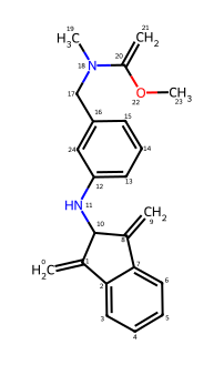 C=C1c2ccccc2C(=C)C1Nc1cccc(CN(C)C(=C)OC)c1